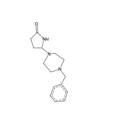 O=C1CCC(N2CCN(Cc3ccccc3)CC2)N1